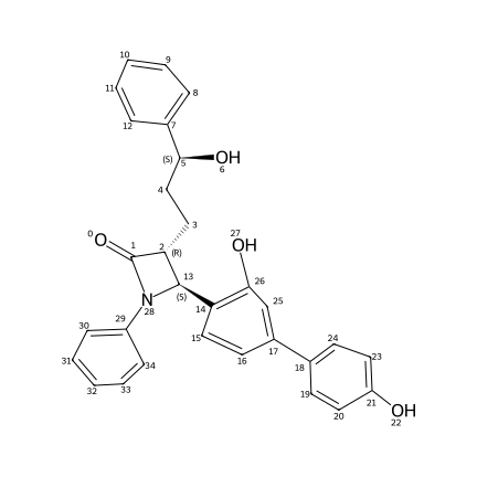 O=C1[C@H](CC[C@H](O)c2ccccc2)[C@@H](c2ccc(-c3ccc(O)cc3)cc2O)N1c1ccccc1